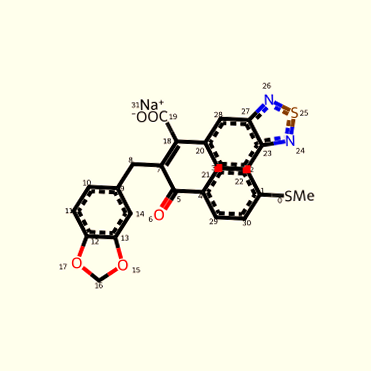 CSc1ccc(C(=O)/C(Cc2ccc3c(c2)OCO3)=C(/C(=O)[O-])c2ccc3nsnc3c2)cc1.[Na+]